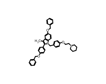 Cc1c(-c2ccc(OCc3ccccc3)cc2)n(Cc2ccc(OCCN3CCCCC3)cc2)c2ccc(OCc3ccccc3)cc12